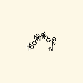 Cc1cc(-c2nc(-c3ccc(OC(F)(F)F)cc3)no2)nn1Cc1cccc(C(=O)N(C)CCN(C)C)c1